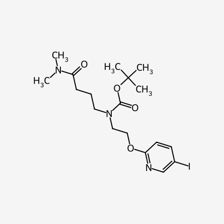 CN(C)C(=O)CCCN(CCOc1ccc(I)cn1)C(=O)OC(C)(C)C